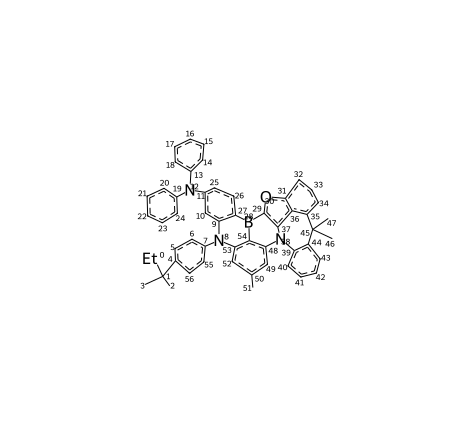 CCC(C)(C)c1ccc(N2c3cc(N(c4ccccc4)c4ccccc4)ccc3B3c4oc5cccc6c5c4N(c4ccccc4C6(C)C)c4cc(C)cc2c43)cc1